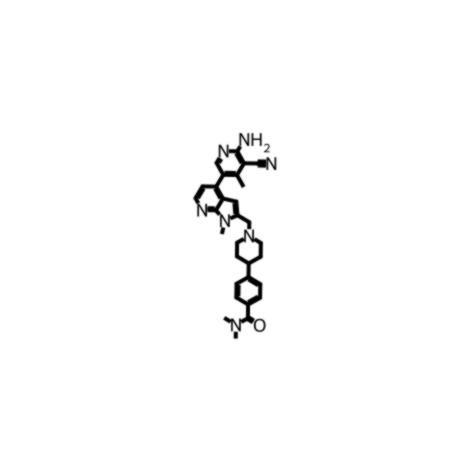 Cc1c(-c2ccnc3c2cc(CN2CCC(c4ccc(C(=O)N(C)C)cc4)CC2)n3C)cnc(N)c1C#N